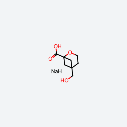 O=C(O)C12CC(CO)(CCO1)C2.[NaH]